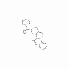 Cc1cc2ccccc2c2ccc3c(c12)CC(C(=O)c1ccco1)CC3